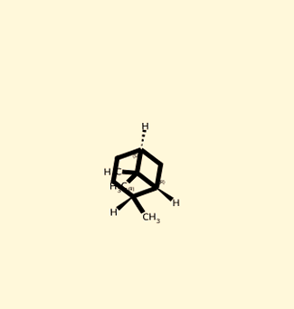 C[C@@H]1CC[C@H]2C[C@H]1C2(C)C